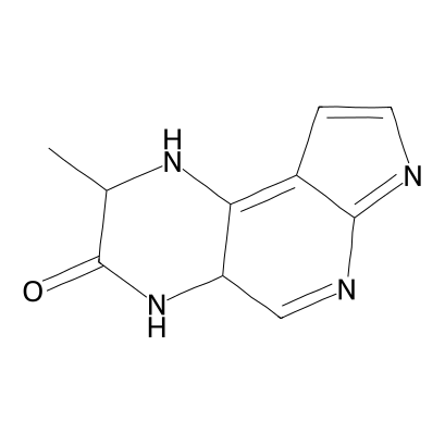 CC1NC2=C3C=CN=C3N=CC2NC1=O